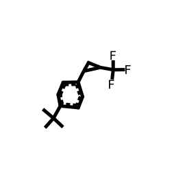 CC(C)(C)c1ccc(C2CC2C(F)(F)F)cc1